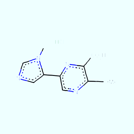 COc1ncc(-c2cncn2C)nc1C(=O)O.Cl